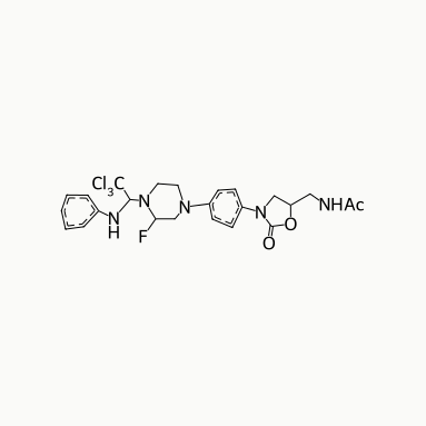 CC(=O)NCC1CN(c2ccc(N3CCN(C(Nc4ccccc4)C(Cl)(Cl)Cl)C(F)C3)cc2)C(=O)O1